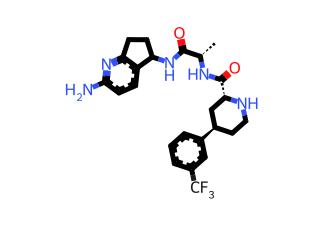 C[C@H](NC(=O)[C@H]1C[C@H](c2cccc(C(F)(F)F)c2)CCN1)C(=O)NC1CCc2nc(N)ccc21